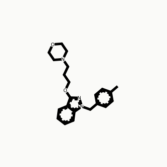 Cc1ccc(Cn2nc(OCCCN3CCOCC3)c3ccccc32)cc1